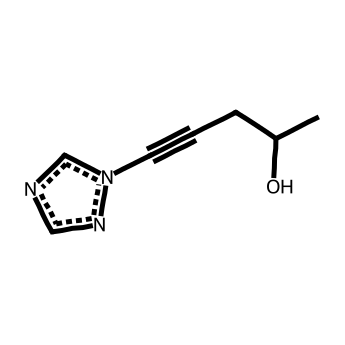 CC(O)CC#Cn1cncn1